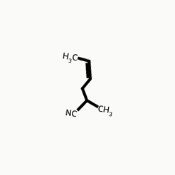 C/C=C\CC(C)C#N